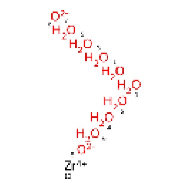 O.O.O.O.O.O.O.O.[O-2].[O-2].[Zr+4]